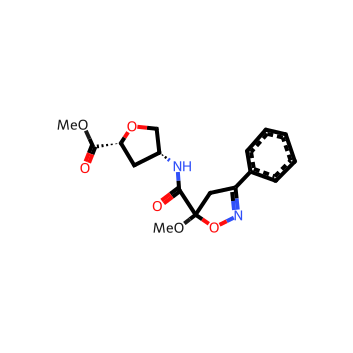 COC(=O)[C@H]1C[C@@H](NC(=O)C2(OC)CC(c3ccccc3)=NO2)CO1